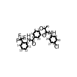 CC(Oc1ccc(C(=O)Nc2ccccc2C(F)(F)F)cc1)C(=O)Nc1ccc(Cl)cc1